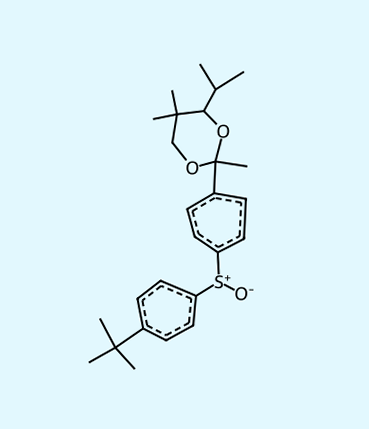 CC(C)C1OC(C)(c2ccc([S+]([O-])c3ccc(C(C)(C)C)cc3)cc2)OCC1(C)C